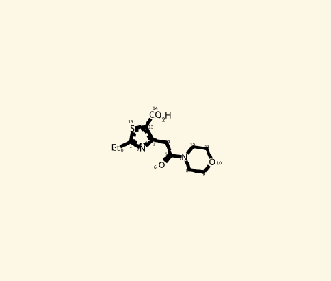 CCc1nc(CC(=O)N2CCOCC2)c(C(=O)O)s1